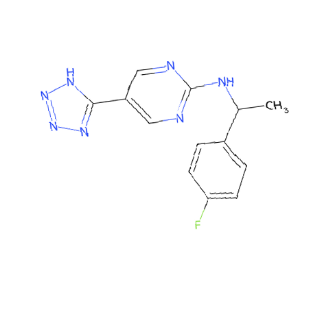 CC(Nc1ncc(-c2nnn[nH]2)cn1)c1ccc(F)cc1